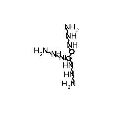 NCCCNCCCNCc1cccc(-c2cc(CNCCCNCCCN)cc(CNCCCNCCCN)c2)c1